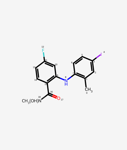 Cc1cc(I)ccc1Nc1cc(F)ccc1C(=O)N(C)O